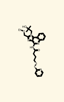 CCOCc1nc2c(NC(=O)CCCSSc3ccccn3)nc3ccccc3c2n1CC(C)(C)O